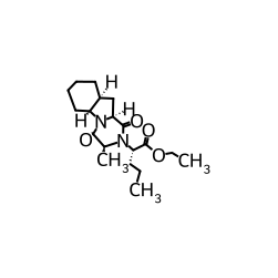 CCC[C@@H](C(=O)OCC)N1C(=O)[C@@H]2C[C@@H]3CCCC[C@@H]3N2C(=O)[C@@H]1C